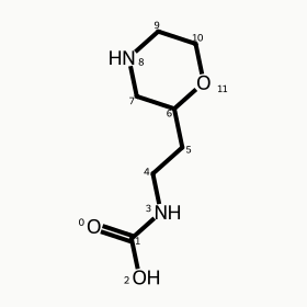 O=C(O)NCCC1CNCCO1